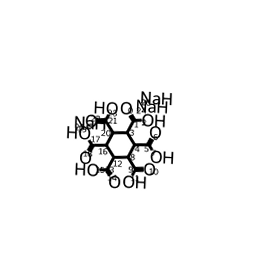 O=C(O)C1C(C(=O)O)C(C(=O)O)C(C(=O)O)C(C(=O)O)C1C(=O)O.[NaH].[NaH].[NaH]